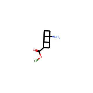 NC12C3C4C1C1C2C3C41C(=O)OCl